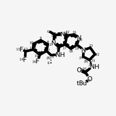 Cc1nc(N[C@H](C)c2cccc(C(F)F)c2F)c2cc(N3CC[C@@H](NC(=O)OC(C)(C)C)C3)ncc2n1